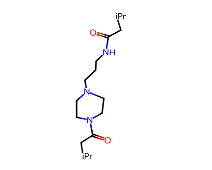 CC(C)CC(=O)NCCCN1CCN(C(=O)CC(C)C)CC1